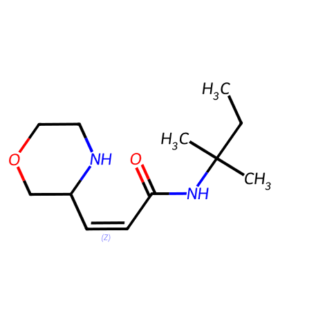 CCC(C)(C)NC(=O)/C=C\C1COCCN1